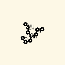 N=C(OC(=N)c1cccc(C2CC(C3C=C(c4cccc5c4oc4ccccc45)C=CC3)NC(c3cccc(-c4cccc5c4oc4ccccc45)c3)=N2)c1)c1ccccc1